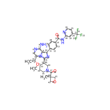 CO[C@@H](C)c1cnc(N)c2c(-c3ccc(C(=O)Nc4cc(C(F)(F)F)ccn4)cc3)nc([C@@H]3CCCN(C(=O)C4(C)COC4)C3)n12